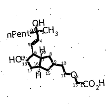 CCCCCC(C)(O)C=C[C@H]1[C@@H]2CC(CCOCC(=O)O)C[C@H]2C[C@@H]1O